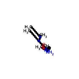 CCCCCCCCCCCCCN(CC)CCCN(CCCCCCCCCCCCC)CCCCCC(=O)OC(C)(C)Cn1c(COCC)nc2c(N)nc3ccccc3c21